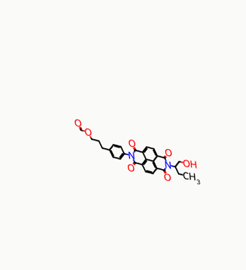 CCC(CO)N1C(=O)c2ccc3c4c(ccc(c24)C1=O)C(=O)N(c1ccc(CCCOC=O)cc1)C3=O